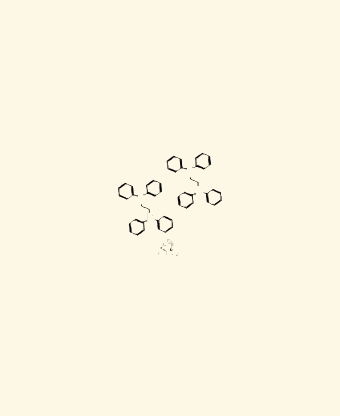 [Ir+].[O-][Cl+3]([O-])([O-])[O-].c1ccc(P(CCP(c2ccccc2)c2ccccc2)c2ccccc2)cc1.c1ccc(P(CCP(c2ccccc2)c2ccccc2)c2ccccc2)cc1